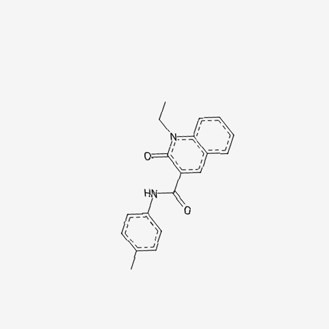 CCn1c(=O)c(C(=O)Nc2ccc(C)cc2)cc2ccccc21